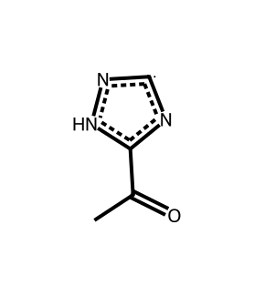 CC(=O)c1n[c]n[nH]1